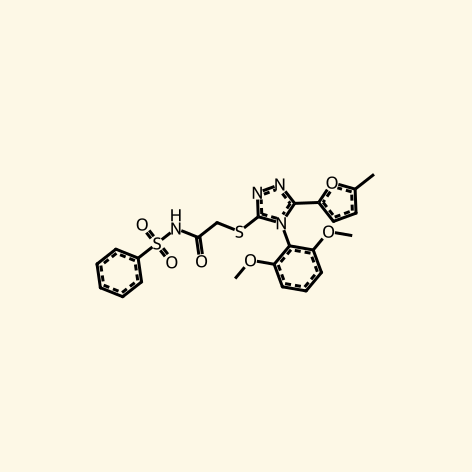 COc1cccc(OC)c1-n1c(SCC(=O)NS(=O)(=O)c2ccccc2)nnc1-c1ccc(C)o1